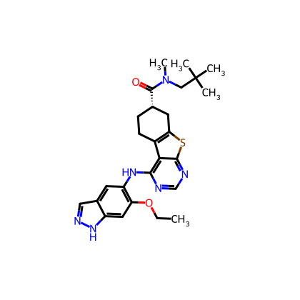 CCOc1cc2[nH]ncc2cc1Nc1ncnc2sc3c(c12)CC[C@H](C(=O)N(C)CC(C)(C)C)C3